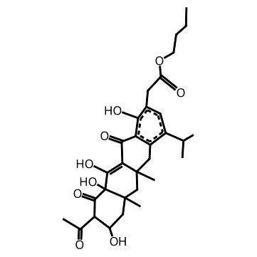 CCCCOC(=O)Cc1cc(C(C)C)c2c(c1O)C(=O)C1=C(O)C3(O)C(=O)C(C(C)=O)C(O)CC3(C)CC1(C)C2